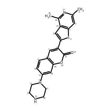 Cc1cc2sc(-c3cc4ccc(N5CCNCC5)cc4oc3=O)cc2c(C)n1